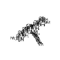 OB(O)OB(O)OB(O)OB(O)OB(O)OB(O)OB(O)OB(O)OB(O)OB(O)OB(O)O.[AlH3].[Zn].[Zn].[Zn].[Zn].[Zn].[Zn].[Zn].[Zn].[Zn].[Zn].[Zn]